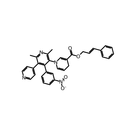 Cc1nc(C)c(N2C=CCC(C(=O)OCC=Cc3ccccc3)=C2)c(-c2cccc([N+](=O)[O-])c2)c1-c1ccncc1